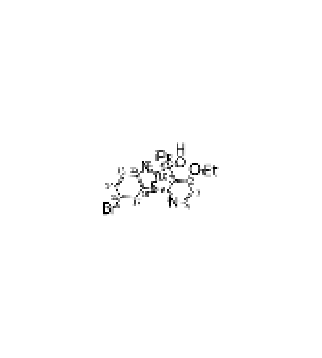 CCOc1ccncc1C(O)(c1nc2ccc(Br)cc2s1)C(C)C